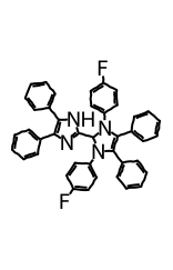 Fc1ccc(N2C(c3ccccc3)=C(c3ccccc3)N(c3ccc(F)cc3)C2c2nc(-c3ccccc3)c(-c3ccccc3)[nH]2)cc1